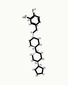 Fc1ccc(CC[C@H]2CC[C@H]([C@H]3CC[C@H](C4CCCC4)CC3)CC2)cc1F